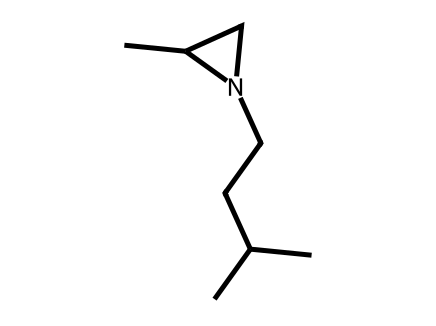 CC(C)CCN1CC1C